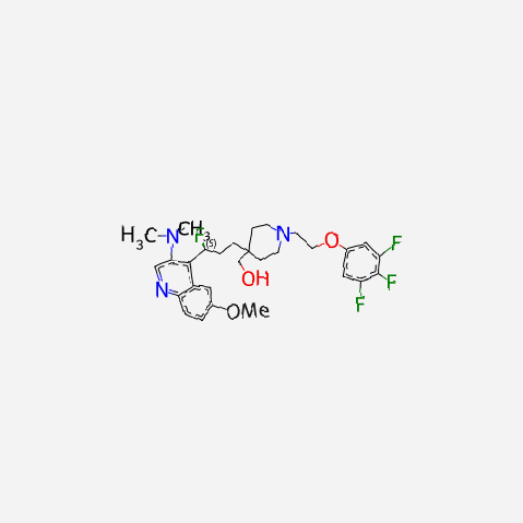 COc1ccc2ncc(N(C)C)c([C@@H](F)CCC3(CO)CCN(CCOc4cc(F)c(F)c(F)c4)CC3)c2c1